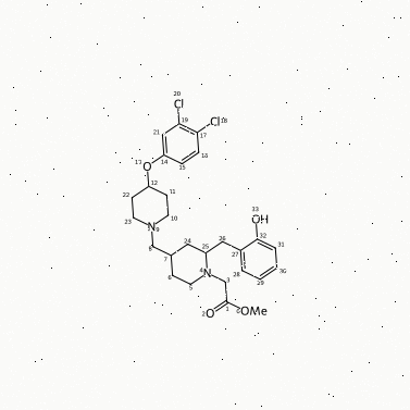 COC(=O)CN1CCC(CN2CCC(Oc3ccc(Cl)c(Cl)c3)CC2)CC1Cc1ccccc1O